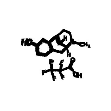 CN1CC[C@]23CCCC[C@H]2[C@H]1Cc1ccc(O)cc13.O=C(O)C(F)(F)C(F)(F)F